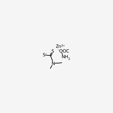 CN(C)C(=S)[S-].NC(=O)[O-].[Zn+2]